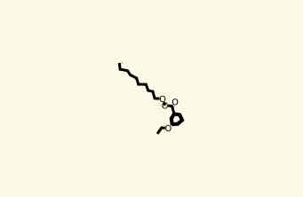 [CH2]CCCCCCCCCOOC(=O)c1cccc(OCC)c1